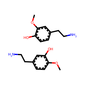 COc1cc(CCN)ccc1O.COc1ccc(CCN)cc1O